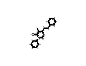 O=c1c(I)c(CCc2ccccc2)ncn1-c1ccccc1